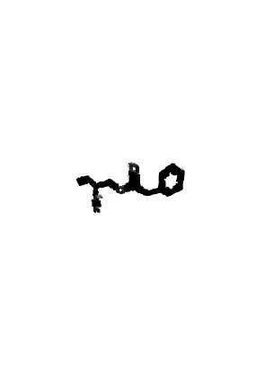 C=CC(COC(=O)Cc1ccccc1)[N+]#N